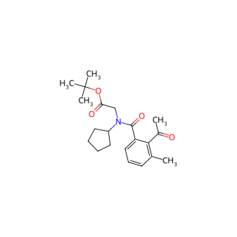 CC(=O)c1c(C)cccc1C(=O)N(CC(=O)OC(C)(C)C)C1CCCC1